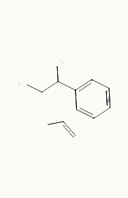 C=CC(=O)O.CC(C)CC(C#N)c1ccccc1